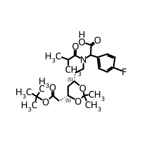 CC(C)C(=O)N(CC[C@H]1C[C@@H](CC(=O)OC(C)(C)C)OC(C)(C)O1)C(C(=O)O)c1ccc(F)cc1